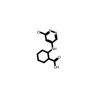 O=C(O)C1CCCCC1Nc1cnnc(Cl)c1